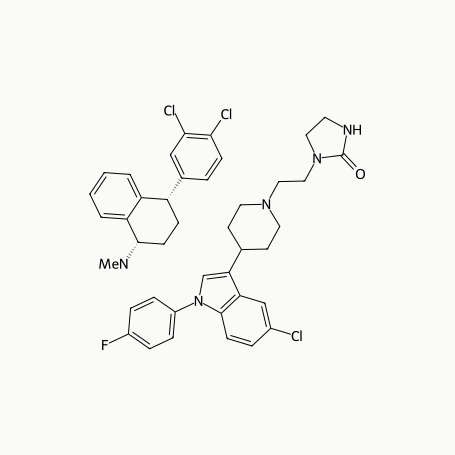 CN[C@H]1CC[C@@H](c2ccc(Cl)c(Cl)c2)c2ccccc21.O=C1NCCN1CCN1CCC(c2cn(-c3ccc(F)cc3)c3ccc(Cl)cc23)CC1